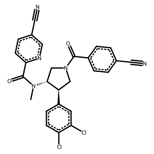 CN(C(=O)c1ccc(C#N)cn1)[C@@H]1CN(C(=O)c2ccc(C#N)cc2)C[C@H]1c1ccc(Cl)c(Cl)c1